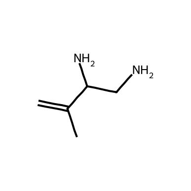 C=C(C)C(N)CN